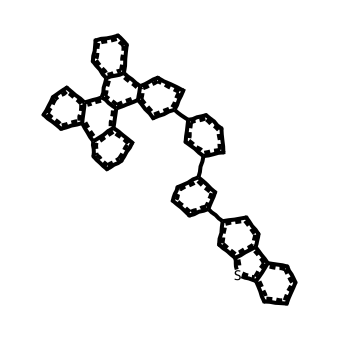 c1cc(-c2cccc(-c3ccc4c5ccccc5c5c6ccccc6c6ccccc6c5c4c3)c2)cc(-c2ccc3c(c2)sc2ccccc23)c1